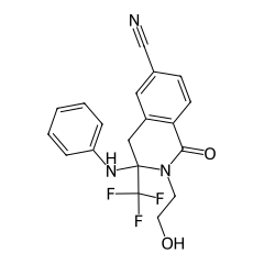 N#Cc1ccc2c(c1)CC(Nc1ccccc1)(C(F)(F)F)N(CCO)C2=O